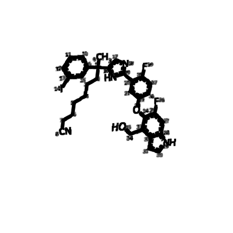 CC(CCCCCCC#N)(c1cccc(I)c1)c1cnc(-c2cc(Oc3c(F)cc4[nH]ccc4c3CO)ccc2F)[nH]1